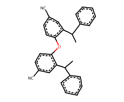 CC(c1ccccc1)c1cc(C#N)ccc1Oc1ccc(C#N)cc1C(C)c1ccccc1